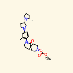 Cc1cc(N2CC[C@H](N3CCC[C@@H]3C)C2)ccc1N1CCCC2(CCN(OC(=O)OC(C)(C)C)CC2)C1=O